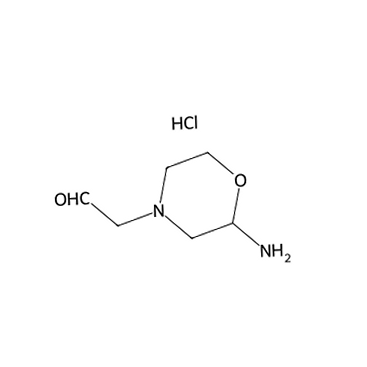 Cl.NC1CN(CC=O)CCO1